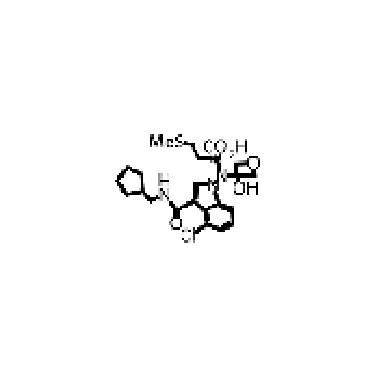 CSCC[C@@H](C(=O)O)N(n1cc(C(=O)NCC2CCCC2)c2c(Cl)cccc21)C1(O)COC1